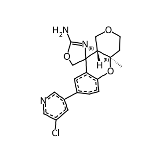 C[C@@]12CCOC[C@H]1C1(COC(N)=N1)c1cc(-c3cncc(Cl)c3)ccc1O2